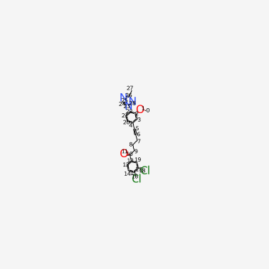 COc1cc(C#CCCCC(=O)c2ccc(Cl)c(Cl)c2)ccc1-n1cnc(C)n1